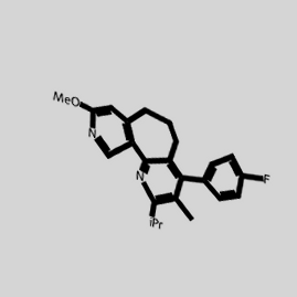 COc1cc2c(cn1)-c1nc(C(C)C)c(C)c(-c3ccc(F)cc3)c1CCC2